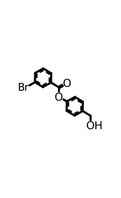 O=C(Oc1ccc(CO)cc1)c1cccc(Br)c1